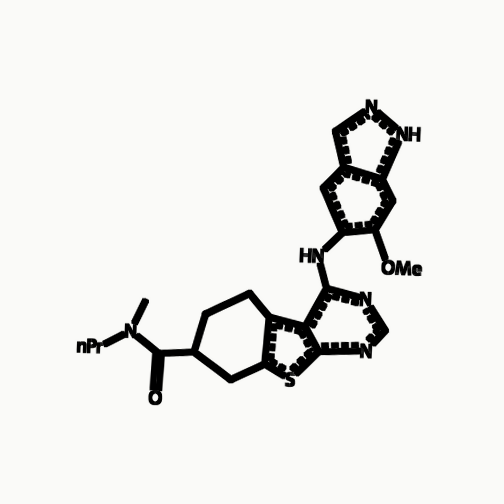 CCCN(C)C(=O)C1CCc2c(sc3ncnc(Nc4cc5cn[nH]c5cc4OC)c23)C1